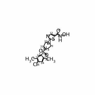 Cc1cc(S(=O)(=O)N2CCN(c3ncc(C(=O)NO)s3)CC2)c(C)cc1Cl